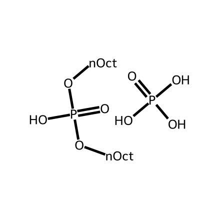 CCCCCCCCOP(=O)(O)OCCCCCCCC.O=P(O)(O)O